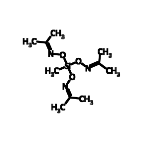 CC(C)=NO[Si](C)(ON=C(C)C)ON=C(C)C